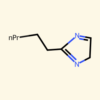 CCCCCC1=NCC=N1